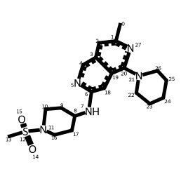 Cc1cc2cnc(NC3CCN(S(C)(=O)=O)CC3)cc2c(N2CCCCC2)n1